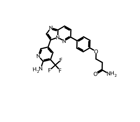 NC(=O)CCOc1ccc(-c2ccc3ncc(-c4cnc(N)c(C(F)(F)F)c4)n3n2)cc1